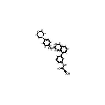 C#CC(=O)Nc1cccc(-c2cccc3cnc(Nc4ccc(N5CCOCC5)cc4)nc23)c1